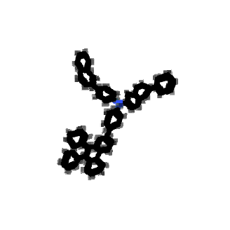 c1ccc(-c2ccc3cc(N(c4ccc(-c5ccc6ccccc6c5)cc4)c4ccc(-c5ccc6c(c5)c(-c5ccccc5)c(-c5ccccc5)c5ccccc56)cc4)ccc3c2)cc1